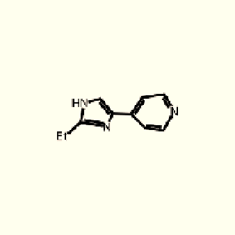 CCc1nc(-c2ccncc2)c[nH]1